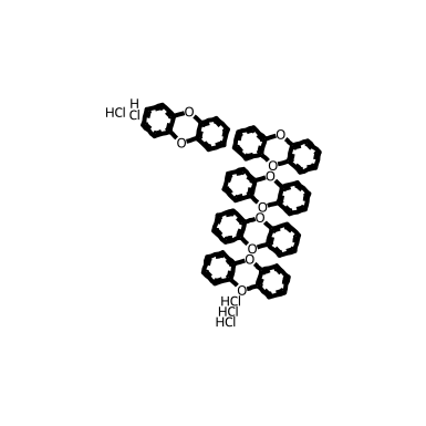 Cl.Cl.Cl.Cl.Cl.c1ccc2c(c1)Oc1ccccc1O2.c1ccc2c(c1)Oc1ccccc1O2.c1ccc2c(c1)Oc1ccccc1O2.c1ccc2c(c1)Oc1ccccc1O2.c1ccc2c(c1)Oc1ccccc1O2